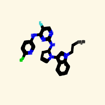 CCOC(=O)CCn1cc(N2C=CCC2Nc2ncc(F)c(Nc3ccc(Cl)nc3)n2)c2ccccc21